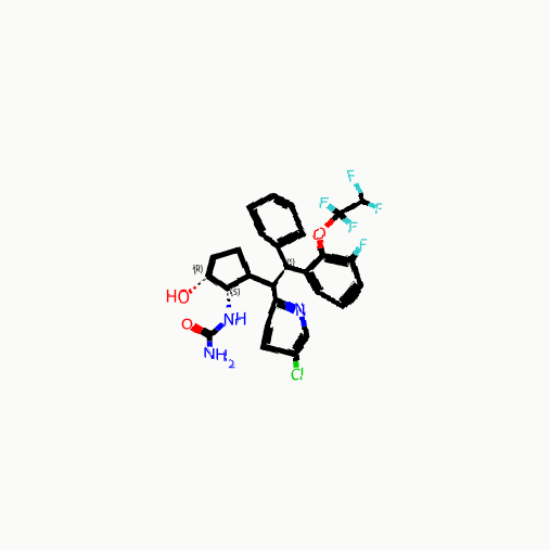 NC(=O)N[C@H]1C(C(c2ccc(Cl)cn2)[C@@H](c2ccccc2)c2cccc(F)c2OC(F)(F)C(F)F)CC[C@H]1O